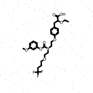 CCOC(Cc1ccc(OCCN(CCOCCCC(F)(F)F)C(=O)Oc2cccc(OC)c2)cc1)C(=O)O